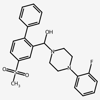 CS(=O)(=O)c1ccc(-c2ccccc2)c(C(O)N2CCN(c3ccccc3F)CC2)c1